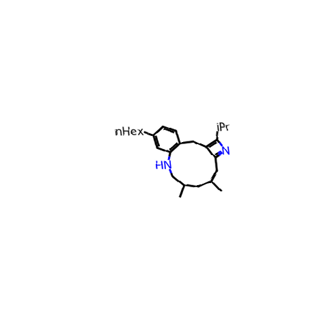 CCCCCCc1ccc2c(c1)NCC(C)CC(C)CC1=NC(C(C)C)=C1C2